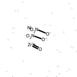 O=[N+]([O-])[O-].O=[N+]([O-])[O-].[Ni].[O]=[Zr+2]